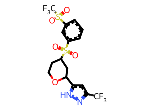 O=S(=O)(c1cccc(S(=O)(=O)C(F)(F)F)c1)C1CCOC(c2cc(C(F)(F)F)n[nH]2)C1